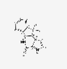 CC1(C)c2ccccc2-c2[nH]c(=O)c3nccn3c21